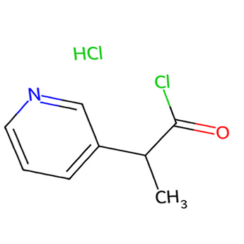 CC(C(=O)Cl)c1cccnc1.Cl